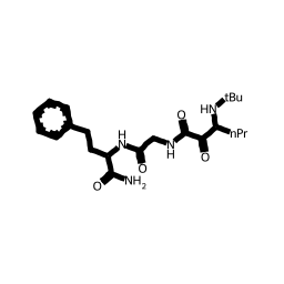 CCCC(NC(C)(C)C)C(=O)C(=O)NCC(=O)NC(CCc1ccccc1)C(N)=O